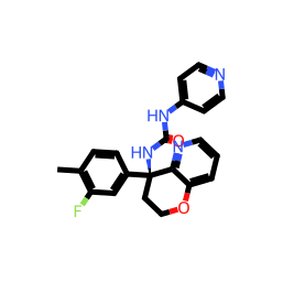 Cc1ccc([C@@]2(NC(=O)Nc3ccncc3)CCOc3cccnc32)cc1F